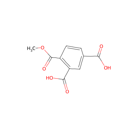 COC(=O)c1ccc(C(=O)O)cc1C(=O)O